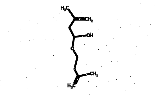 C=C(C)CCOC(O)CC(=C)C